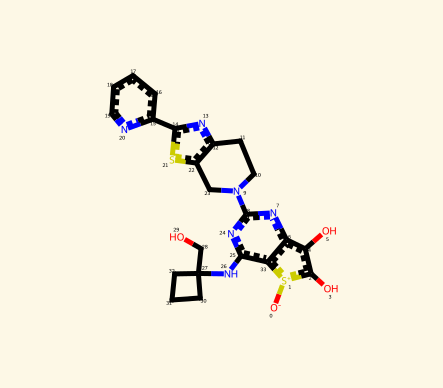 [O-][s+]1c(O)c(O)c2nc(N3CCc4nc(-c5ccccn5)sc4C3)nc(NC3(CO)CCC3)c21